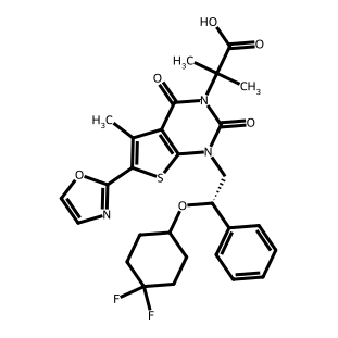 Cc1c(-c2ncco2)sc2c1c(=O)n(C(C)(C)C(=O)O)c(=O)n2C[C@@H](OC1CCC(F)(F)CC1)c1ccccc1